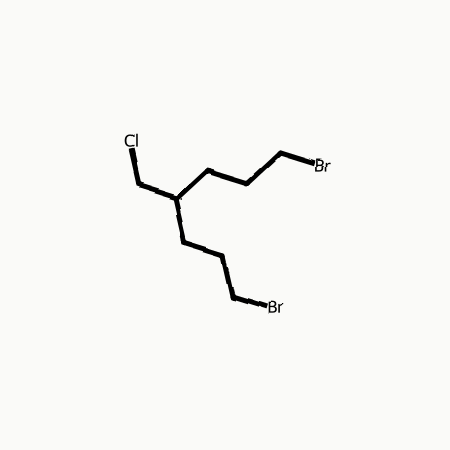 ClC[C](CCCBr)CCCBr